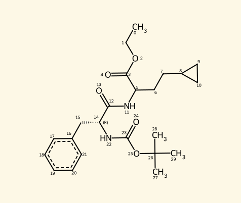 CCOC(=O)C(CCC1CC1)NC(=O)[C@@H](Cc1ccccc1)NC(=O)OC(C)(C)C